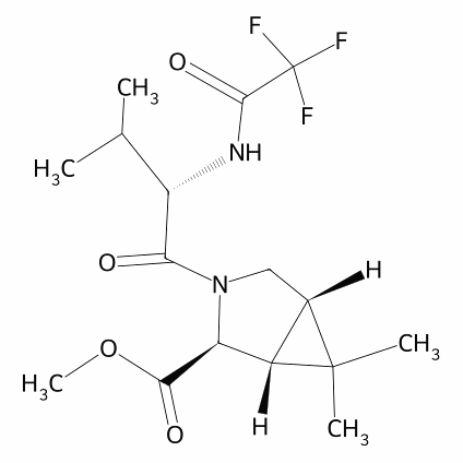 COC(=O)[C@@H]1[C@@H]2[C@H](CN1C(=O)[C@@H](NC(=O)C(F)(F)F)C(C)C)C2(C)C